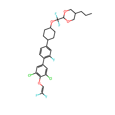 CCCC1COC(C(F)(F)OC2CCC(c3ccc(-c4cc(Cl)c(OC=C(F)F)c(Cl)c4)c(F)c3)CC2)OC1